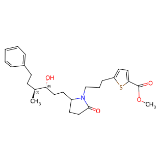 COC(=O)c1ccc(CCCN2C(=O)CCC2CC[C@@H](O)[C@@H](C)CCc2ccccc2)s1